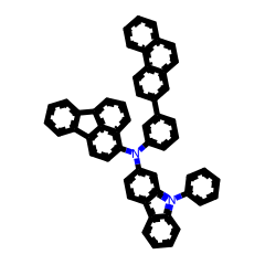 c1ccc(-n2c3ccccc3c3ccc(N(c4cccc(-c5ccc6c(ccc7ccccc76)c5)c4)c4ccc5c6c(cccc46)-c4ccccc4-5)cc32)cc1